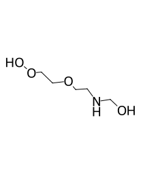 OCNCCOCCOO